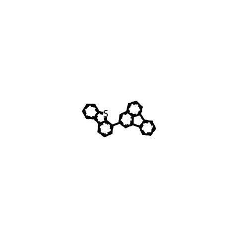 c1ccc2c(c1)-c1cccc3cc(-c4cccc5c4sc4ccccc45)cc-2c13